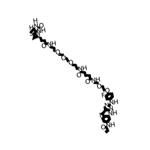 C=CC(=O)Nc1cccc(Nc2nc(Nc3ccc(OCCOCCNC(=O)CCCC(=O)NCCCOCCOCCOCCCNC(=O)CCC[C@H]4CC45SC[C@@H]4NC(=O)N[C@@H]45)c(F)c3)ncc2C#N)c1